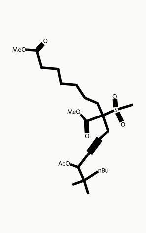 CCCCC(C)(C)C(C#CCC(CCCCCCC(=O)OC)(C(=O)OC)S(C)(=O)=O)OC(C)=O